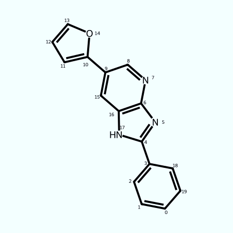 c1ccc(-c2nc3ncc(-c4ccco4)cc3[nH]2)cc1